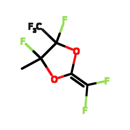 CC1(F)OC(=C(F)F)OC1(F)C(F)(F)F